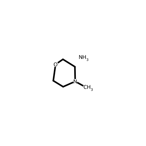 CN1CCOCC1.N